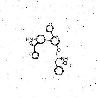 CN[C@@H](COc1cnc(-c2ccoc2)c(-c2ccc3[nH]nc(-c4ccco4)c3c2)c1)Cc1ccccc1